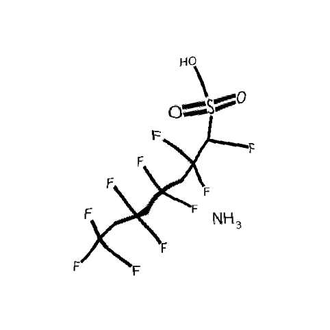 N.O=S(=O)(O)C(F)C(F)(F)C(F)(F)C(F)(F)C(F)(F)F